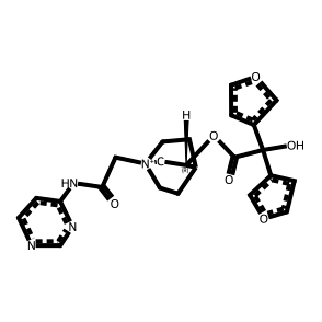 O=C(C[N+]12CCC(CC1)[C@@H](OC(=O)C(O)(c1ccoc1)c1ccoc1)C2)Nc1ccncn1